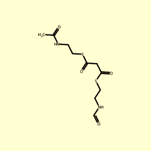 CC(=O)NCCSC(=O)CC(=O)SCCNC=O